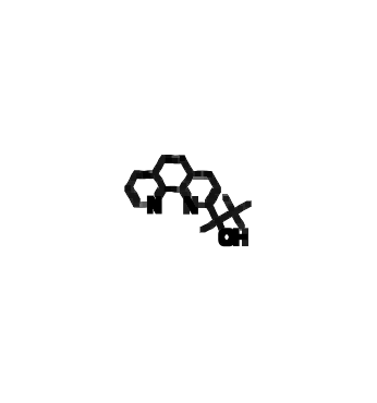 CC(C)(C)C(C)(O)c1ccc2ccc3cccnc3c2n1